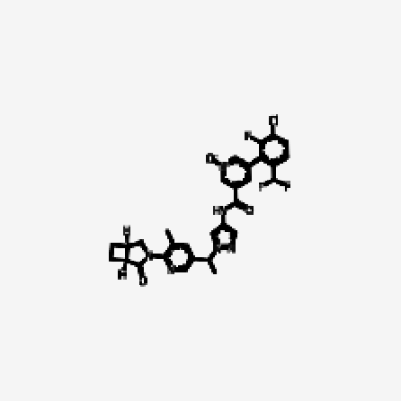 Cc1cc(C(C)n2cc(NC(=O)c3cc(-c4c(C(F)F)ccc(Cl)c4F)c[n+]([O-])c3)cn2)cnc1N1C[C@H]2CC[C@H]2C1=O